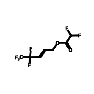 O=C(OCC=CC(F)(F)C(F)(F)F)C(F)F